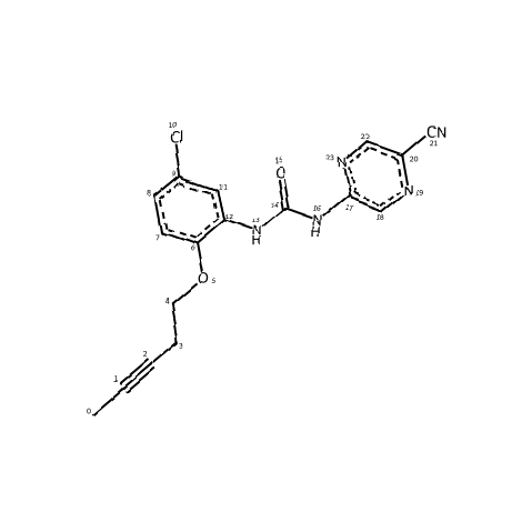 CC#CCCOc1ccc(Cl)cc1NC(=O)Nc1cnc(C#N)cn1